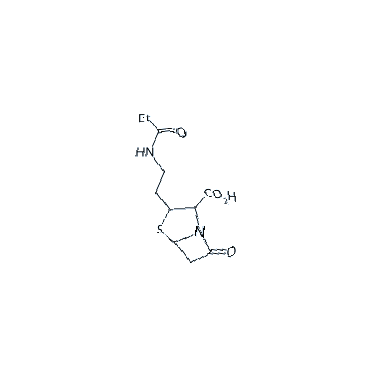 CCC(=O)NCCC1SC2CC(=O)N2C1C(=O)O